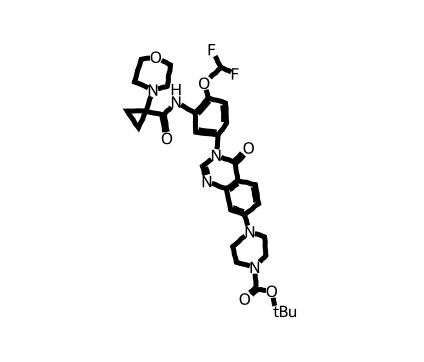 CC(C)(C)OC(=O)N1CCN(c2ccc3c(=O)n(-c4ccc(OC(F)F)c(NC(=O)C5(N6CCOCC6)CC5)c4)cnc3c2)CC1